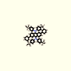 C[Si](C)(C)c1ccc(N(c2ccc([Si](C)(C)C)cc2)c2c3ccc(C4CCCCC4)cc3c(N(c3ccc([Si](C)(C)C)cc3)c3ccc([Si](C)(C)C)cc3)c3ccc(C4CCCCC4)cc23)cc1